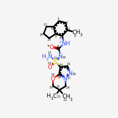 Cc1ccc2c(c1NC(=O)N=S(N)(=O)c1cnn3c1OCC(C)(C)C3)CCC2